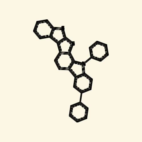 c1ccc(-c2ccc3c(c2)c2ccc4c(sc5sc6ccccc6c54)c2n3-c2ccccc2)cc1